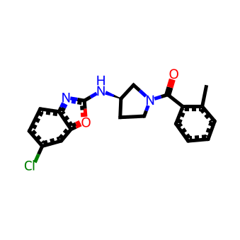 Cc1ccccc1C(=O)N1CC[C@@H](Nc2nc3ccc(Cl)cc3o2)C1